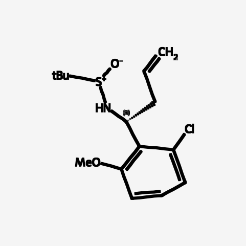 C=CC[C@@H](N[S+]([O-])C(C)(C)C)c1c(Cl)cccc1OC